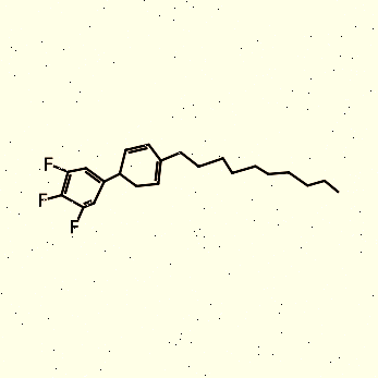 CCCCCCCCCCC1=CCC(c2cc(F)c(F)c(F)c2)C=C1